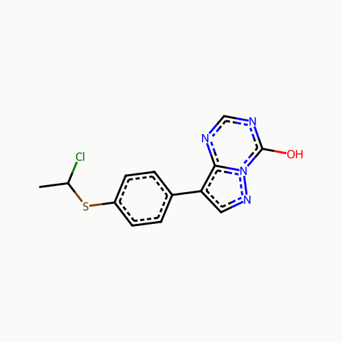 CC(Cl)Sc1ccc(-c2cnn3c(O)ncnc23)cc1